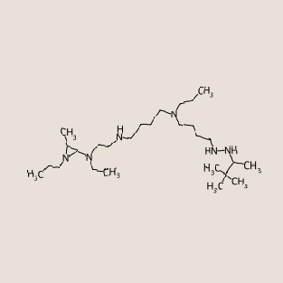 CCCN(CCCCNCCN(CC)C1C(C)N1CCC)CCCCNNC(C)C(C)(C)C